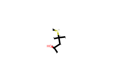 CSC(C)(C)CC(C)O